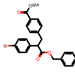 COC(=O)c1ccc(CC(C(=O)OCc2ccccc2)c2ccc(Br)cc2)cc1